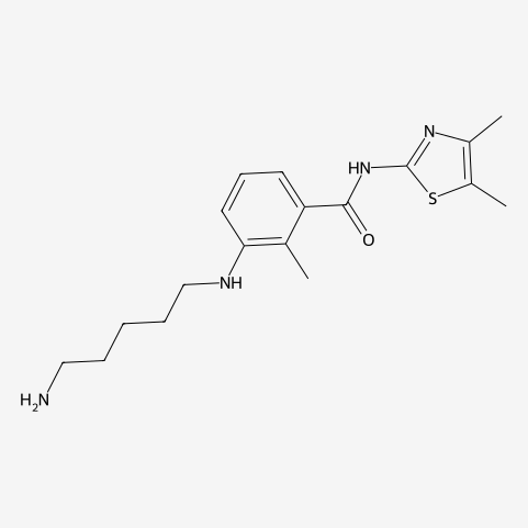 Cc1nc(NC(=O)c2cccc(NCCCCCN)c2C)sc1C